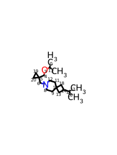 CC(C)OCC1(CN2CCC3(CC2)CC(C(C)C)C3)CC1